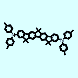 Cc1ccc(N(c2ccc(C)cc2)c2ccc3c(c2)C(C)(C)c2cc4c(cc2-3)C(C)(C)c2cc3c(cc2-4)C(C)(C)c2cc(N(c4ccc(C)cc4)c4ccc(C)cc4)ccc2-3)cc1